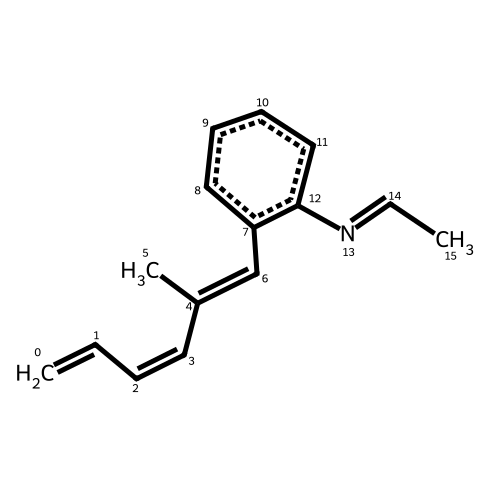 C=C/C=C\C(C)=C\c1ccccc1/N=C/C